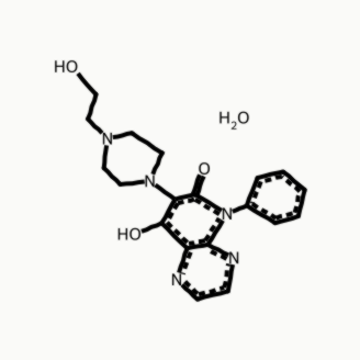 O.O=c1c(N2CCN(CCO)CC2)c(O)c2nccnc2n1-c1ccccc1